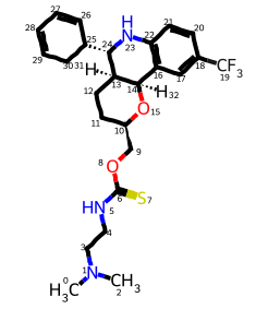 CN(C)CCNC(=S)OC[C@H]1CC[C@@H]2[C@H](O1)c1cc(C(F)(F)F)ccc1N[C@H]2C1C=CC=CC1